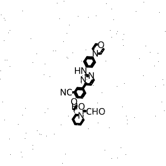 N#Cc1cc(-c2ccnc(Nc3ccc(N4CCOCC4)cc3)n2)ccc1OCC[C@H]1CCCCN1C(O)C=O